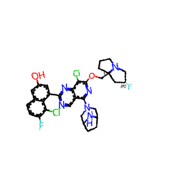 Oc1cc(-c2ncc3c(N4CC5CCC(C4)N5)nc(OC[C@@]45CCCN4C[C@H](F)C5)c(Cl)c3n2)c2c(Cl)c(F)ccc2c1